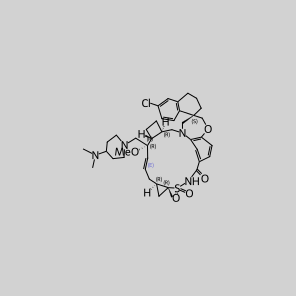 CO[C@@]1(CN2CCC(N(C)C)CC2)/C=C/C[C@@H]2C[C@@]2(C)S(=O)(=O)NC(=O)c2ccc3c(c2)N(C[C@@H]2CC[C@H]21)C[C@@]1(CCCc2cc(Cl)ccc21)CO3